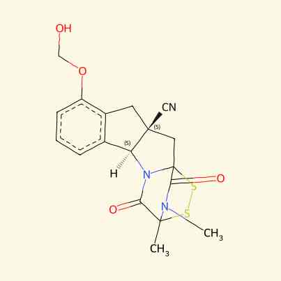 CN1C(=O)C23C[C@@]4(C#N)Cc5c(OCO)cccc5[C@@H]4N2C(=O)C1(C)SS3